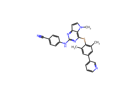 Cc1cc(-c2cccnc2)cc(C)c1Sc1nc(Nc2ccc(C#N)cc2)nc2ccn(C)c12